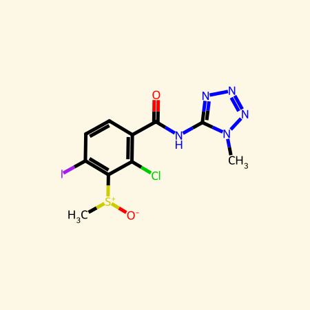 Cn1nnnc1NC(=O)c1ccc(I)c([S+](C)[O-])c1Cl